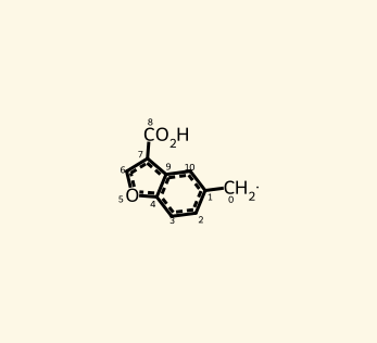 [CH2]c1ccc2occ(C(=O)O)c2c1